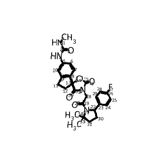 CNC(=O)Nc1ccc2c(c1)CCC21OC(=O)N(CC(=O)N2C(c3ccc(F)cc3)CCC2(C)C)C1=O